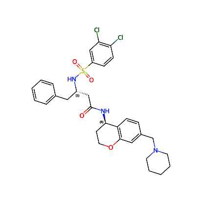 O=C(C[C@H](Cc1ccccc1)NS(=O)(=O)c1ccc(Cl)c(Cl)c1)N[C@@H]1CCOc2cc(CN3CCCCC3)ccc21